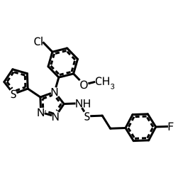 COc1ccc(Cl)cc1-n1c(NSCCc2ccc(F)cc2)nnc1-c1cccs1